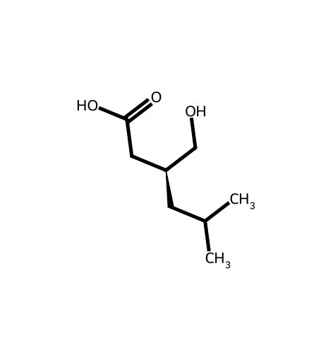 CC(C)C[C@H](CO)CC(=O)O